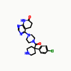 O=C1CCc2c(ncnc2N2CCN(C(=O)C3(c4ccc(Cl)cc4)CCNCC3)CC2)N1